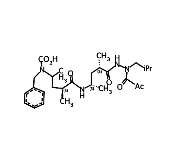 CC(=O)C(=O)N(CC(C)C)NC(=O)[C@@H](C)C[C@H](C)NC(=O)[C@@H](C)CC(C)N(Cc1ccccc1)C(=O)O